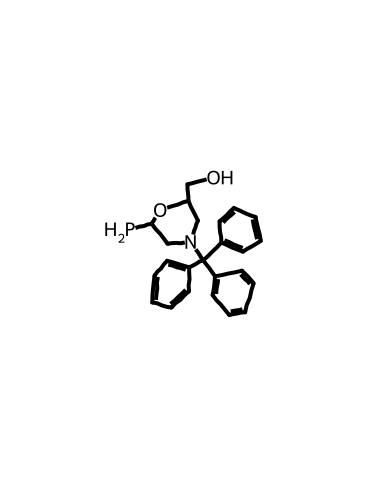 OCC1CN(C(c2ccccc2)(c2ccccc2)c2ccccc2)CC(P)O1